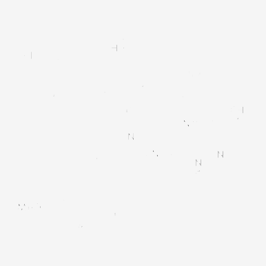 COc1ccc(CN2N=C(c3ccc(Cl)cc3)c3c(C)csc3-n3c(C)nnc32)cc1